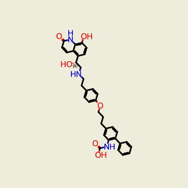 O=C(O)Nc1cc(CCCOc2ccc(CCNC[C@H](O)c3ccc(O)c4[nH]c(=O)ccc34)cc2)ccc1-c1ccccc1